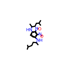 CC(C)CCC(C)Nc1ccc(NC(C)CCC(C)C)c(N=O)c1N=O